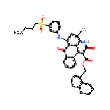 O=C(O)CCCS(=O)(=O)c1cccc(Nc2cc(S(=O)(=O)O)c3[nH]c(=O)c(C(=O)OCc4cccc5ccccc45)c4c3c2C(=O)c2ccccc2-4)c1